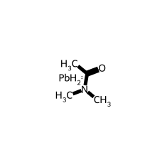 CC(=O)N(C)C.[PbH2]